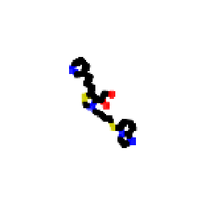 O=CC(=O)C1C(=CCCc2cccnc2)SCN1CCCCSc1cccc2nccn12